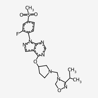 CC(C)C1=NOCN1CN1CCC(Oc2ncnc3c2cnn3-c2ccc(S(C)(=O)=O)cc2F)C1